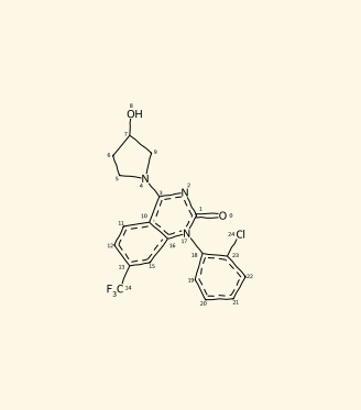 O=c1nc(N2CCC(O)C2)c2ccc(C(F)(F)F)cc2n1-c1ccccc1Cl